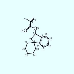 C=C(C)C(=O)OC1CC2(CCCCC2)c2ccccc21